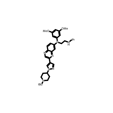 COc1cc(OC)cc(N(CCNC(C)C)c2ccc3ncc(-c4cnn(C5CCN(C(C)(C)C)CC5)c4)nc3c2)c1